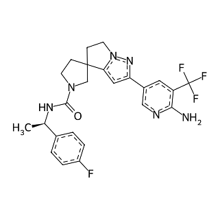 C[C@@H](NC(=O)N1CCC2(CCn3nc(-c4cnc(N)c(C(F)(F)F)c4)cc32)C1)c1ccc(F)cc1